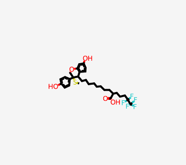 CSC1(c2ccc(O)cc2)COc2cc(O)ccc2C1CCCCCCCCC(CCCC(F)(F)C(F)(F)F)C(=O)O